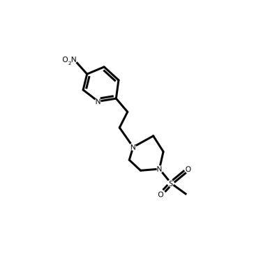 CS(=O)(=O)N1CCN(CCc2ccc([N+](=O)[O-])cn2)CC1